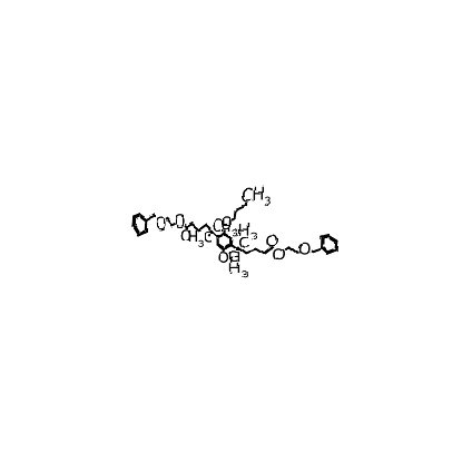 CCCCOc1cc(C(C)(C)CCCC(=O)OCCOCc2ccccc2)c(O)cc1C(C)(C)CCCC(=O)OCCOCc1ccccc1